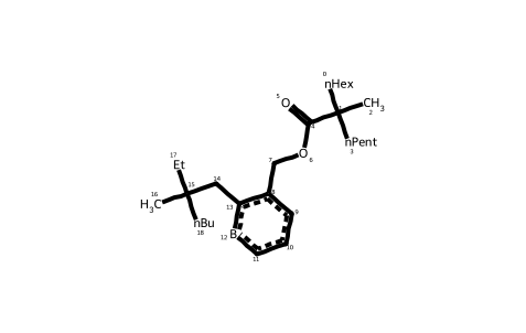 CCCCCCC(C)(CCCCC)C(=O)OCc1cccbc1CC(C)(CC)CCCC